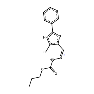 CCCOC(=O)N/N=C\c1nc(-c2ccccc2)[nH]c1Cl